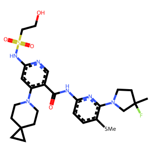 CSc1ccc(NC(=O)c2cnc(NS(=O)(=O)CCO)cc2N2CCC3(CC2)CC3)nc1N1CCC(C)(F)C1